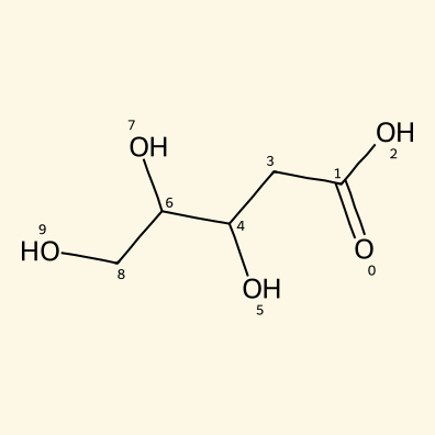 O=C(O)CC(O)C(O)CO